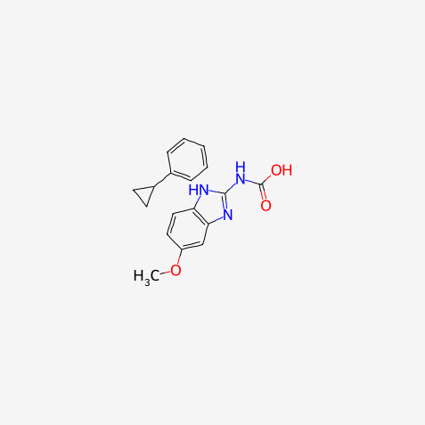 COc1ccc2[nH]c(NC(=O)O)nc2c1.c1ccc(C2CC2)cc1